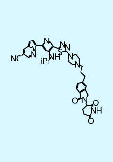 CC(C)Nc1cc(-c2ccc3cc(C#N)cnn23)ncc1-c1nnc(N2CCN(CCCc3ccc4c(c3)CN(C3CCC(=O)NC3=O)C4=O)CC2)s1